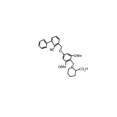 COc1cc(OCc2cccc(-c3ccccc3)c2C#N)cc(OC)c1CN1CCCCC1C(=O)O